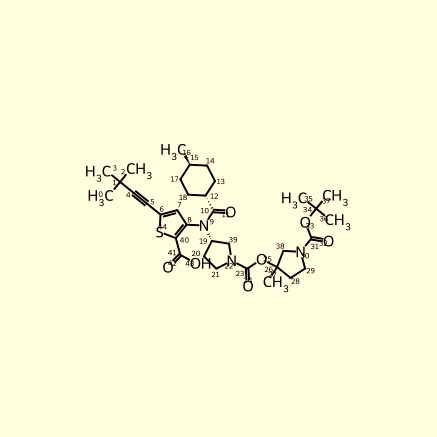 CC(C)(C)C#Cc1cc(N(C(=O)[C@H]2CC[C@H](C)CC2)[C@H]2CCN(C(=O)OC3(C)CCN(C(=O)OC(C)(C)C)C3)C2)c(C(=O)O)s1